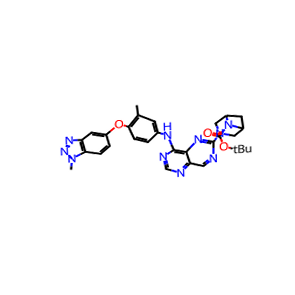 Cc1cc(Nc2ncnc3cnc(N4CC5CC(C4)N5C(=O)OC(C)(C)C)nc23)ccc1Oc1ccc2c(c1)nnn2C